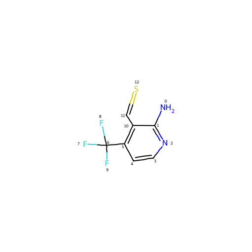 Nc1nccc(C(F)(F)F)c1C=S